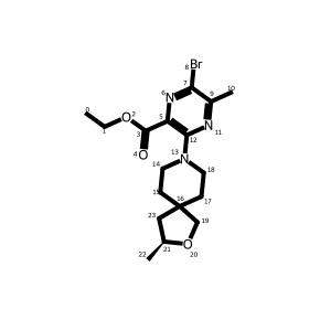 CCOC(=O)c1nc(Br)c(C)nc1N1CCC2(CC1)CO[C@@H](C)C2